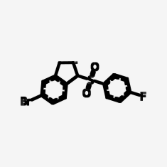 O=S(=O)(c1ccc(F)cc1)C1[CH]Cc2cc(Br)ccc21